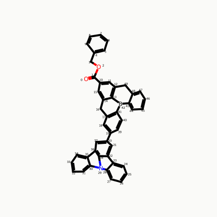 O=C(OCc1ccccc1)c1cc2c3c(c1)Cc1cc(-c4cc5c6ccccc6n6c7ccccc7c(c4)c56)ccc1B3c1ccccc1C2